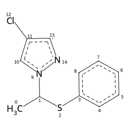 CC(Sc1ccccc1)n1cc(Cl)[c]n1